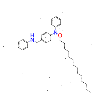 CCCCCCCCCCCCCCON(c1ccccc1)c1ccc(CNc2ccccc2)cc1